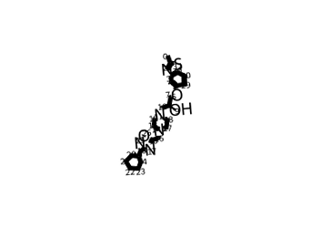 Cc1nc2cc(OC[C@@H](O)CN3CCN(Cc4nc(C5CCCCC5)no4)CC3)ccc2s1